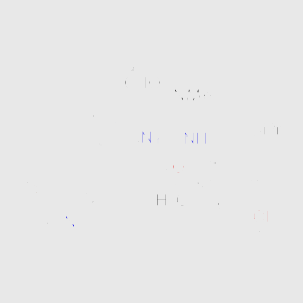 CN/C(=N\C(C=O)=C/c1ccc2ncsc2c1)NOC1(C)CC(O)C(CC(C)C)C1